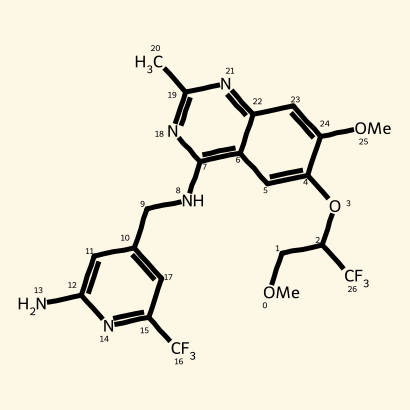 COCC(Oc1cc2c(NCc3cc(N)nc(C(F)(F)F)c3)nc(C)nc2cc1OC)C(F)(F)F